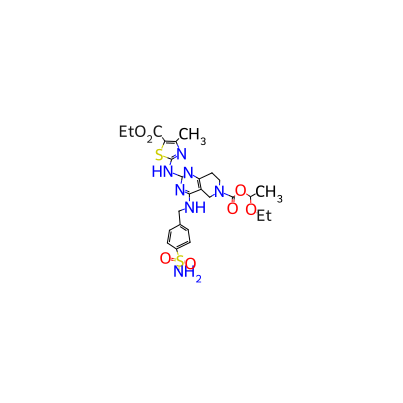 CCOC(=O)c1sc(Nc2nc3c(c(NCc4ccc(S(N)(=O)=O)cc4)n2)CN(C(=O)OC(C)OCC)CC3)nc1C